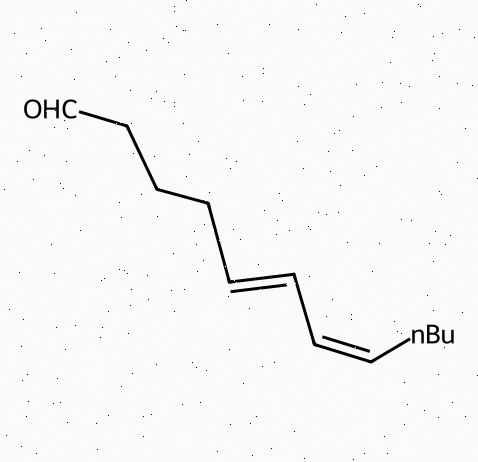 CCCC/C=C\C=C\CCCC=O